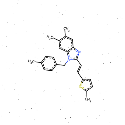 Cc1ccc(Cn2c(/C=C/c3ccc(C)s3)nc3cc(C)c(C)cc32)cc1